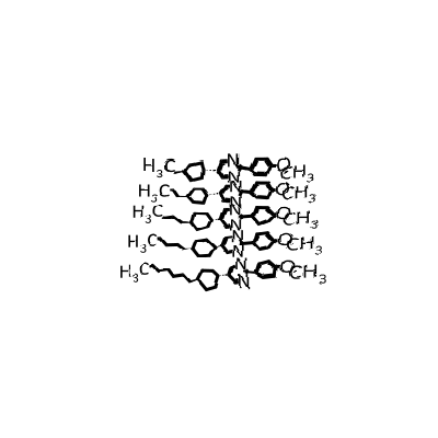 CCCCCCC[C@H]1CC[C@H](c2cnc(-c3ccc(OC)cc3)nc2)CC1.CCCCC[C@H]1CC[C@H](c2cnc(-c3ccc(OC)cc3)nc2)CC1.CCCC[C@H]1CC[C@H](c2cnc(-c3ccc(OC)cc3)nc2)CC1.CCC[C@H]1CC[C@H](c2cnc(-c3ccc(OC)cc3)nc2)CC1.CC[C@H]1CC[C@H](c2cnc(-c3ccc(OC)cc3)nc2)CC1